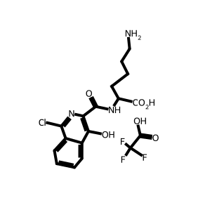 NCCCCC(NC(=O)c1nc(Cl)c2ccccc2c1O)C(=O)O.O=C(O)C(F)(F)F